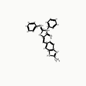 Cc1nc2ccc(C=C3SC(=Nc4ccccc4)N(c4ccccc4)C3=O)cc2s1